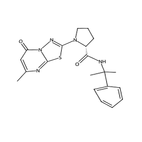 Cc1cc(=O)n2nc(N3CCC[C@@H]3C(=O)NC(C)(C)c3ccccc3)sc2n1